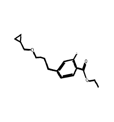 CCOC(=O)c1ccc(CCCOCC2CC2)cc1I